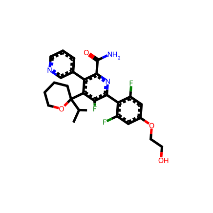 CC(C)C1(c2c(F)c(-c3c(F)cc(OCCO)cc3F)nc(C(N)=O)c2-c2cccnc2)CCCCO1